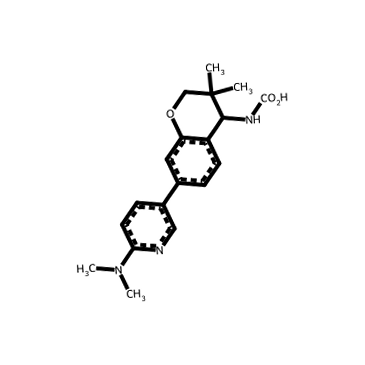 CN(C)c1ccc(-c2ccc3c(c2)OCC(C)(C)C3NC(=O)O)cn1